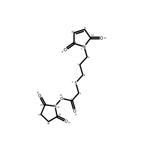 O=C(CSCCCN1C(=O)C=CC1=O)ON1C(=O)CCC1=O